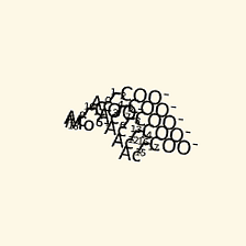 CC(=O)CC(=O)[O-].CC(=O)CC(=O)[O-].CC(=O)CC(=O)[O-].CC(=O)CC(=O)[O-].CC(=O)CC(=O)[O-].CC(=O)CC(=O)[O-].[Mo+6]